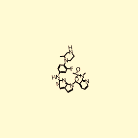 CC1CNCCN1c1ccc(Nc2ncc3ccn(Cc4cccnc4N(C)S(C)(=O)=O)c3n2)cc1F